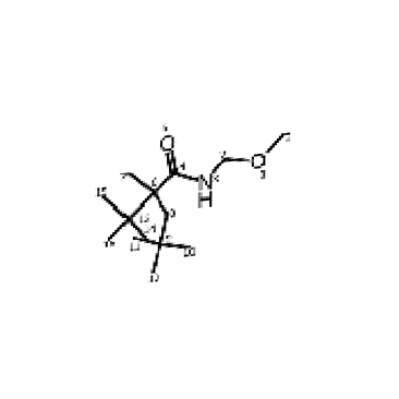 COCNC(=O)C(C)(CC(C)(C)C)C(C)(C)C